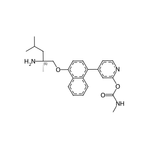 CNC(=O)Oc1cc(-c2ccc(OC[C@@](C)(N)CC(C)C)c3ccccc23)ccn1